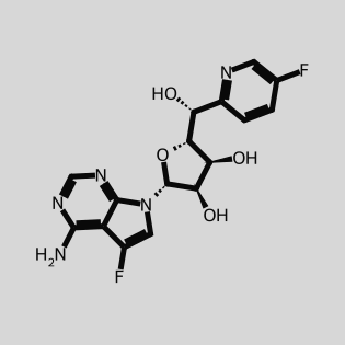 Nc1ncnc2c1c(F)cn2[C@@H]1O[C@H]([C@H](O)c2ccc(F)cn2)[C@@H](O)[C@H]1O